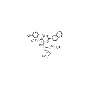 C[C@H](NC(=O)[C@H]1C[C@H](OC(=O)O)[C@H]1OC(=O)O)[C@@H](Cc1ccc(Cl)c(Cl)c1)OC(=O)c1ccc2ccccc2c1